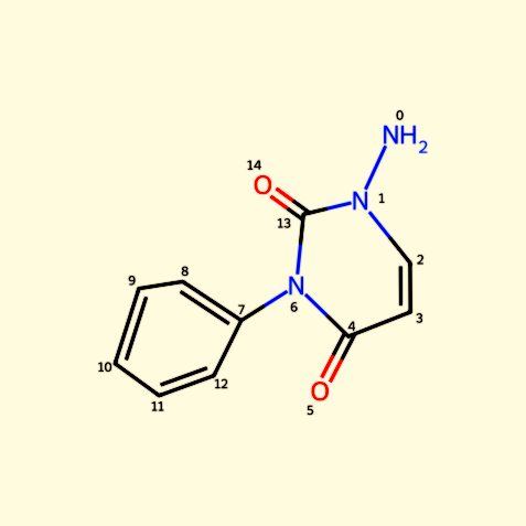 Nn1ccc(=O)n(-c2ccccc2)c1=O